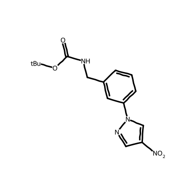 CC(C)(C)OC(=O)NCc1cccc(-n2cc([N+](=O)[O-])cn2)c1